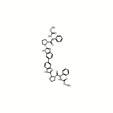 CC(C)(C)OC(=O)N[C@@H](C(=O)N1CCC[C@H]1c1nc2cc(-c3ccc4nc([C@@H]5CCCN5C(=O)[C@H](NC(=O)OC(C)(C)C)c5ccccc5)[nH]c4c3)ccc2[nH]1)c1ccccc1